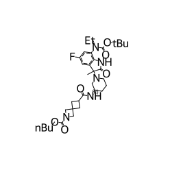 CCCCOC(=O)N1CC2(CC(C(=O)N[C@@H]3CCCN(C4(C)C(=O)Nc5c(N(CC)C(=O)OC(C)(C)C)cc(F)cc54)C3)C2)C1